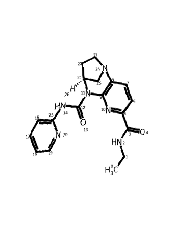 CCNC(=O)c1ccc2c(n1)N(C(=O)Nc1ccccn1)[C@H]1CCN2C1